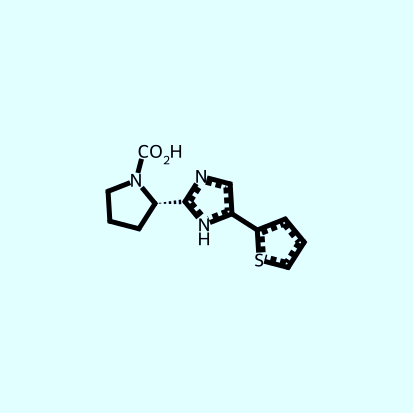 O=C(O)N1CCC[C@H]1c1ncc(-c2cccs2)[nH]1